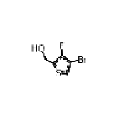 OCc1scc(Br)c1F